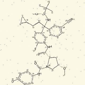 CO[C@H]1C[C@@H](C(=O)Nc2cc(C(CCC3CC3)(N[S@+]([O-])C(C)(C)C)c3cccc(C#N)c3)ccc2F)N(C(=O)Nc2ccc(Cl)cc2)C1